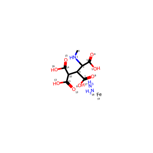 CNC(C(=O)O)C(C(=O)O)C(C(=O)O)C(=O)O.N.N.[Fe]